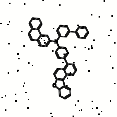 c1ccc(-c2cccc(N(c3ccc(-c4cccc5c4ccc4oc6ccccc6c45)cc3)c3ccc4ccc5ccccc5c4c3)c2)cc1